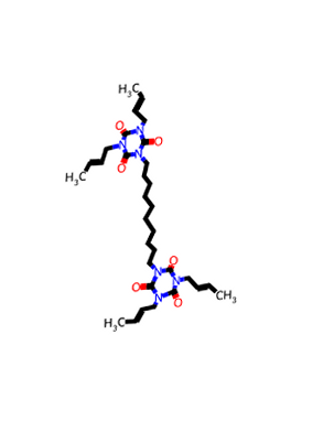 C/C=C/Cn1c(=O)n(C/C=C/C)c(=O)n(CCCCCCCCCCn2c(=O)n(C/C=C/C)c(=O)n(C/C=C/C)c2=O)c1=O